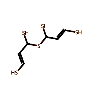 SC=CC(S)SC(S)C=CS